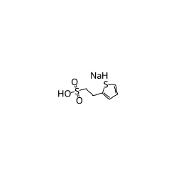 O=S(=O)(O)CCc1cccs1.[NaH]